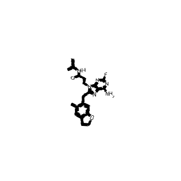 Cc1cc2c(cc1Cc1nc3c(N)nc(F)nc3n1CCC(=O)NC(C)C)OCC2